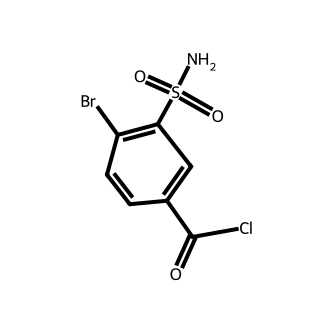 NS(=O)(=O)c1cc(C(=O)Cl)ccc1Br